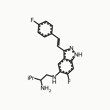 CC(C)C(N)CNc1cc2c(C=Cc3ccc(F)cc3)n[nH]c2cc1F